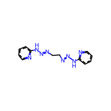 c1ccc(NN=NCCN=NNc2ccccn2)nc1